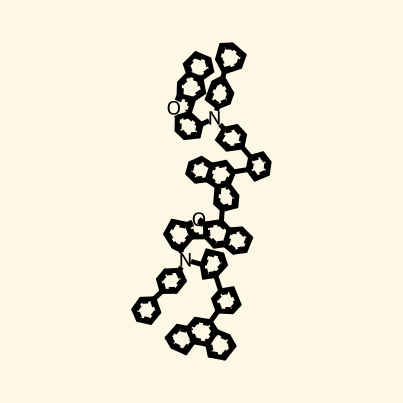 c1ccc(-c2ccc(N(c3ccc(-c4ccccc4-c4cc5ccccc5c5cc(-c6c7ccccc7cc7c6oc6cccc(N(c8ccc(-c9ccccc9)cc8)c8cccc(-c9cccc(-c%10cc%11ccccc%11c%11ccccc%10%11)c9)c8)c67)ccc45)cc3)c3cccc4oc5cc6ccccc6cc5c34)cc2)cc1